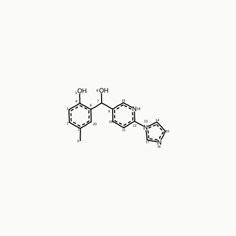 Cc1ccc(O)c(C(O)c2ccc(-n3ccnc3)nc2)c1